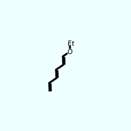 [CH2]COC=CC=CC=C